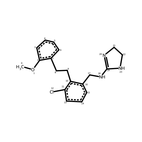 COc1ccccc1CCc1c(Cl)cccc1CNC1=NCCN1